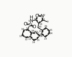 Cc1noc(NS(=O)(=O)c2cccc3cccnc23)c1Cc1ccccc1